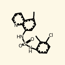 Cc1c(Cl)cccc1NS(=O)(=O)Nc1ccc(C)c2cccnc12